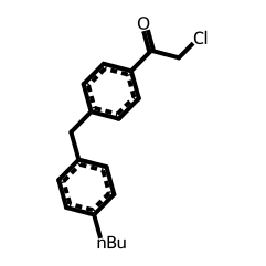 CCCCc1ccc(Cc2ccc(C(=O)CCl)cc2)cc1